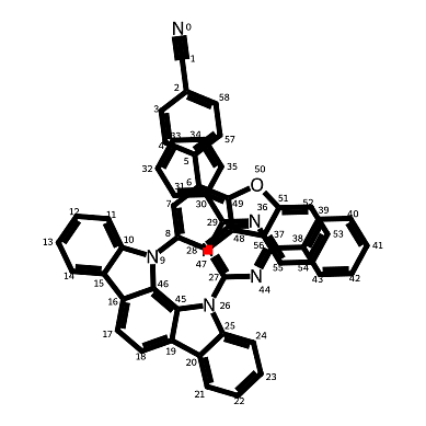 N#Cc1ccc(-c2cc(-n3c4ccccc4c4ccc5c6ccccc6n(-c6nc(-c7ccccc7)nc(-c7ccccc7)n6)c5c43)cc3c2oc2ccccc23)cc1